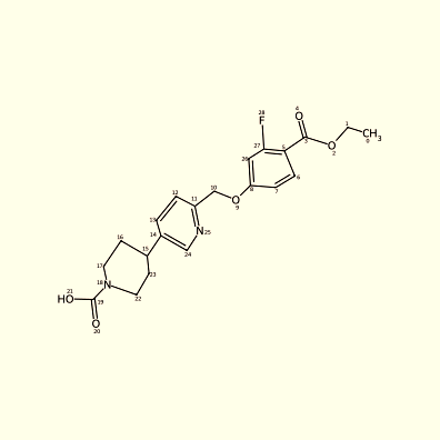 CCOC(=O)c1ccc(OCc2ccc(C3CCN(C(=O)O)CC3)cn2)cc1F